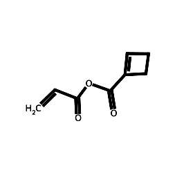 C=CC(=O)OC(=O)C1=CCC1